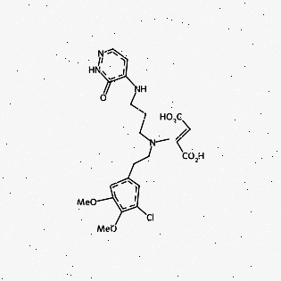 COc1cc(CCN(C)CCCNc2ccn[nH]c2=O)cc(Cl)c1OC.O=C(O)/C=C/C(=O)O